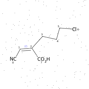 N#C/C=C(/CCCCl)C(=O)O